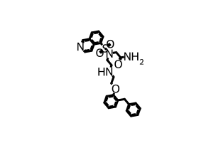 NC(=O)CN(CCNCCOc1ccccc1Cc1ccccc1)S(=O)(=O)c1cccc2cnccc12